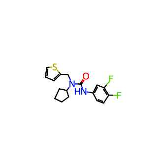 O=C(Nc1ccc(F)c(F)c1)N(Cc1cccs1)C1CCCC1